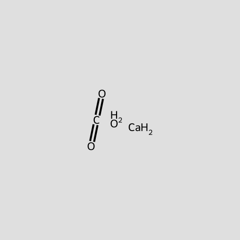 O.O=C=O.[CaH2]